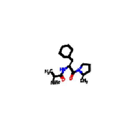 CN[C@@H](C)C(=O)N[C@@H](CC1CCCCC1)C(=O)N1CCC[C@H]1C